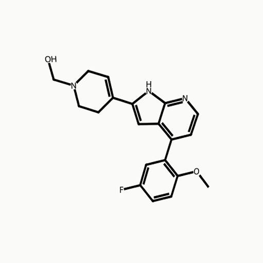 COc1ccc(F)cc1-c1ccnc2[nH]c(C3=CCN(CO)CC3)cc12